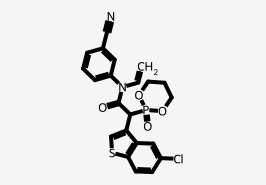 C=CN(C(=O)C(c1csc2ccc(Cl)cc12)P1(=O)OCCCO1)c1cccc(C#N)c1